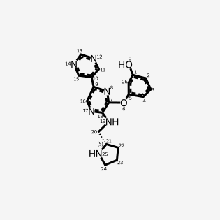 Oc1cccc(Oc2nc(-c3cncnc3)cnc2NC[C@@H]2CCCN2)c1